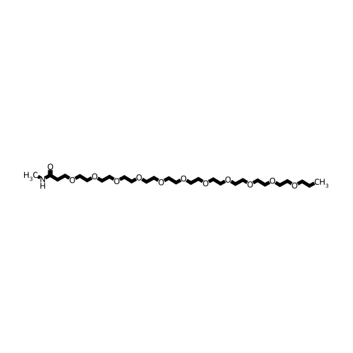 CCCOCCOCCOCCOCCOCCOCCOCCOCCOCCOCCOCCC(=O)NC